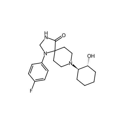 O=C1NCN(c2ccc(F)cc2)C12CCN([C@@H]1CCCC[C@H]1O)CC2